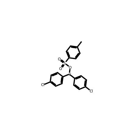 Cc1ccc(S(=O)(=O)O[I+](c2ccc(Cl)cc2)c2ccc(Cl)cc2)cc1